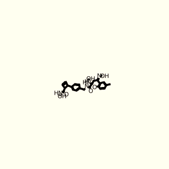 Cc1ccc2c(c1)/C(=N\O)CC(NO)(C(=O)NCc1ccc(C3C#CC3C(=O)NO)cc1)O2